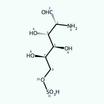 N[C@@H](C=O)[C@@H](O)[C@@H](O)[C@H](O)COS(=O)(=O)O